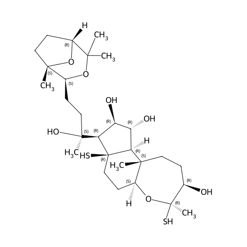 CC1(C)O[C@@H](CC[C@](C)(O)[C@H]2[C@@H](O)[C@H](O)[C@H]3[C@]4(C)CC[C@@H](O)[C@@](C)(S)O[C@H]4CC[C@@]32S)[C@]2(C)CC[C@H]1O2